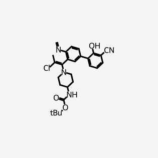 C=Nc1ccc(-c2cccc(C#N)c2O)cc1/C(=C(\C)Cl)N1CCC(NC(=O)OC(C)(C)C)CC1